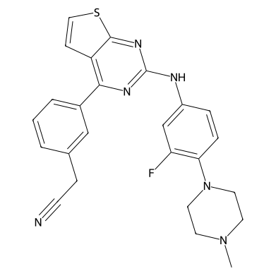 CN1CCN(c2ccc(Nc3nc(-c4cccc(CC#N)c4)c4ccsc4n3)cc2F)CC1